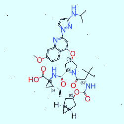 C=C[C@@H]1C[C@]1(NC(=O)[C@@H]1C[C@@H](Oc2cc(-n3ccc(NC(C)C)n3)nc3cc(OC)ccc23)CN1C(=O)[C@@H](NC(=O)O[C@@H]1C[C@@H]2C[C@@H]2C1)C(C)(C)C)C(=O)O